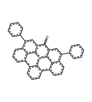 O=c1c2cc(-c3ccccc3)c3cccc4c5cccc6c7cccc8c(-c9ccccc9)cc1c(c87)n(c56)c2c34